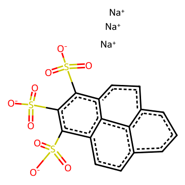 O=S(=O)([O-])c1c(S(=O)(=O)[O-])c2ccc3cccc4ccc(c1S(=O)(=O)[O-])c2c34.[Na+].[Na+].[Na+]